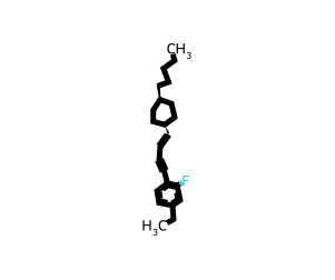 CCCCC[C@H]1CC[C@H](C=CC#Cc2ccc(CC)cc2F)CC1